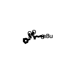 C=C(CCCOCCCC)N1C(=O)OC[C@H]1Cc1ccccc1